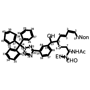 CCCCCCCCC/C=C\C=C\C(SC[C@H](NC(C)=O)N(C=O)CC)C(O)c1cccc(-c2nnn(C(c3ccccc3)(c3ccccc3)c3ccccc3)n2)c1